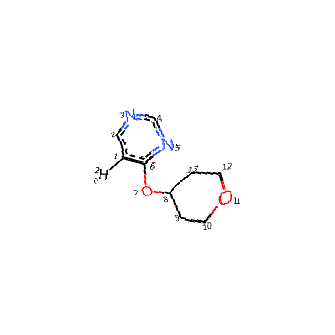 [2H]c1cncnc1OC1CCOCC1